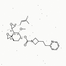 CO[C@@H]1[C@H](OC(=O)N2CC(CCc3ccccn3)C2)CC[C@]2(CO2)[C@H]1[C@@]1(C)O[C@@H]1CC=C(C)C